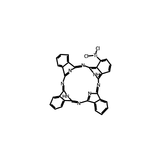 [Cl][Ti]([Cl])[c]1cccc2c3nc4nc(nc5[nH]c(nc6nc(nc([nH]3)c12)-c1ccccc1-6)c1ccccc51)-c1ccccc1-4